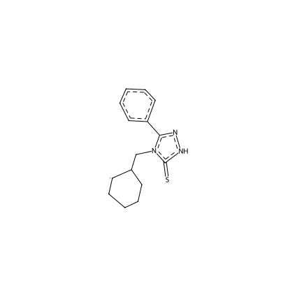 S=c1[nH]nc(-c2ccccc2)n1CC1[CH]CCCC1